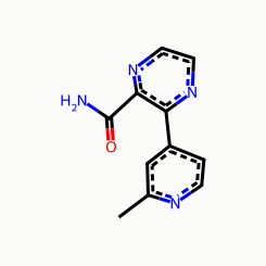 Cc1cc(-c2nccnc2C(N)=O)ccn1